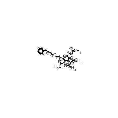 CC(=O)N[C@H]1[C@H](OCCOCCOCc2ccccc2)O[C@H](COC(C)=O)[C@H](OC(C)=O)[C@@H]1OC(C)=O